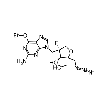 CCOc1nc(N)nc2c1ncn2C[C@@]1(F)CO[C@@](CO)(CN=[N+]=[N-])[C@H]1O